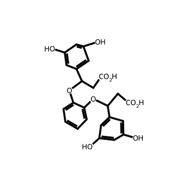 O=C(O)CC(Oc1ccccc1OC(CC(=O)O)c1cc(O)cc(O)c1)c1cc(O)cc(O)c1